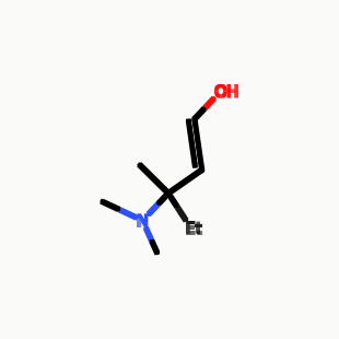 CCC(C)(C=CO)N(C)C